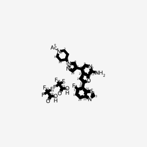 CC(=O)N1CCC(n2cc(-c3cnc(N)c4oc(-c5c(F)ccc6ncsc56)cc34)cn2)CC1.O=C(O)C(F)(F)F.O=C(O)C(F)(F)F